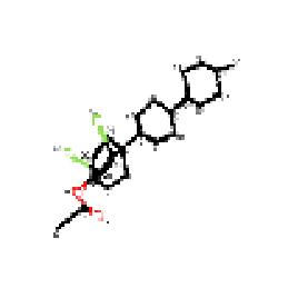 CC(=O)OC12CCC(C3CCC(C4CCC(C)CC4)CC3)(CC1)C(F)=C2F